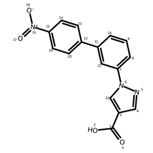 O=C(O)c1cnn(-c2cccc(-c3ccc([N+](=O)[O-])cc3)c2)c1